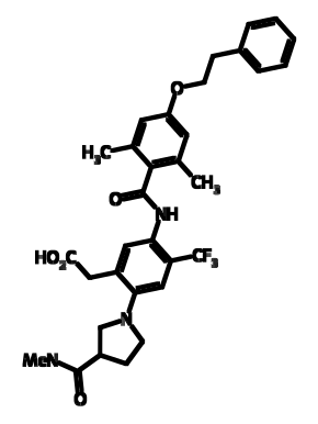 CNC(=O)C1CCN(c2cc(C(F)(F)F)c(NC(=O)c3c(C)cc(OCCc4ccccc4)cc3C)cc2CC(=O)O)C1